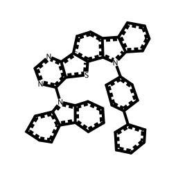 c1ccc(-c2ccc(-n3c4ccccc4c4ccc5c6ncnc(-n7c8ccccc8c8ccccc87)c6sc5c43)cc2)cc1